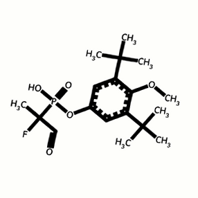 COc1c(C(C)(C)C)cc(OP(=O)(O)C(C)(F)C=O)cc1C(C)(C)C